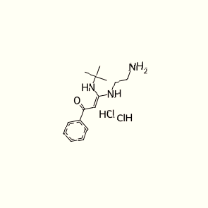 CC(C)(C)N/C(=C\C(=O)c1ccccc1)NCCN.Cl.Cl